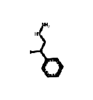 NNCC(I)c1ccccc1